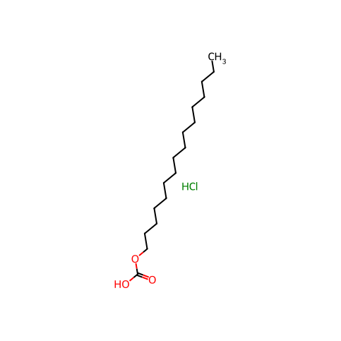 CCCCCCCCCCCCCCCCOC(=O)O.Cl